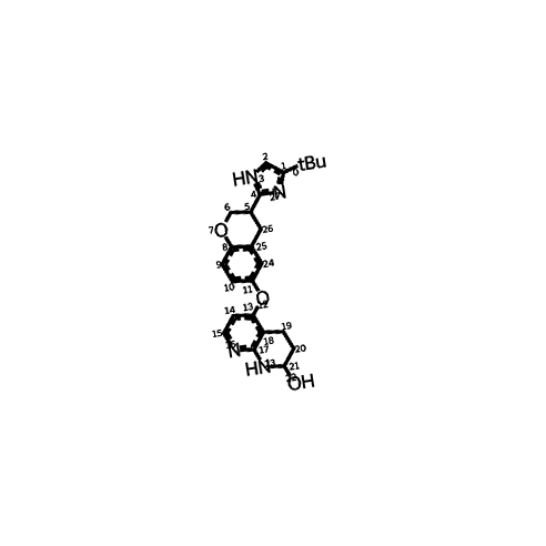 CC(C)(C)c1c[nH]c(C2COc3ccc(Oc4ccnc5c4CCC(O)N5)cc3C2)n1